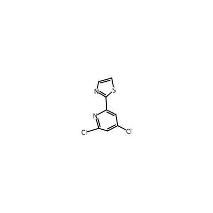 Clc1cc(Cl)nc(-c2nccs2)c1